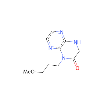 COCCCN1C(=O)CNc2nccnc21